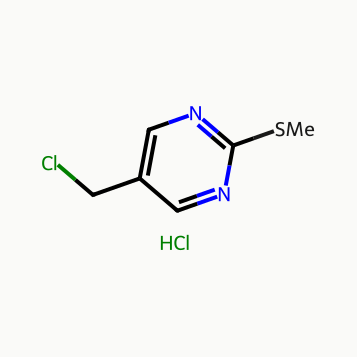 CSc1ncc(CCl)cn1.Cl